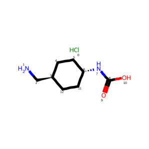 Cl.NC[C@H]1CC[C@H](NC(=O)O)CC1